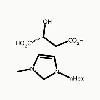 CCCCCCN1C=CN(C)C1.O=C(O)C[C@@H](O)C(=O)O